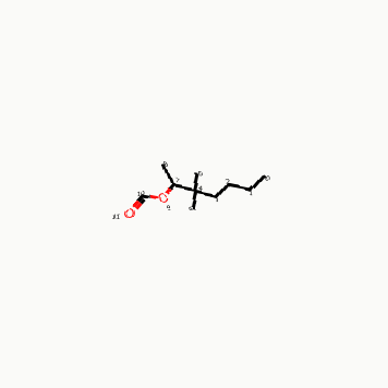 CCCCC(C)(C)C(C)OC=O